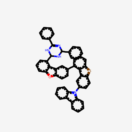 c1ccc(C2=NC(c3ccccc3)NC(c3cccc4oc5ccc(-c6cccc7sc8ccc(-n9c%10ccccc%10c%10ccccc%109)cc8c67)cc5c34)N2)cc1